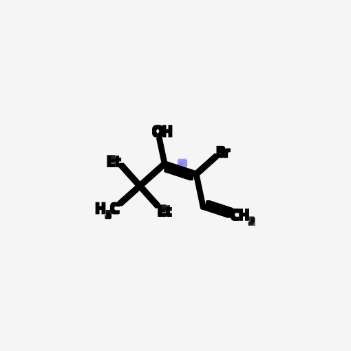 C=C/C(Br)=C(/O)C(C)(CC)CC